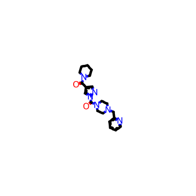 O=C(c1cnn(C(=O)N2CCN(Cc3ccccn3)CC2)c1)N1CCCCC1